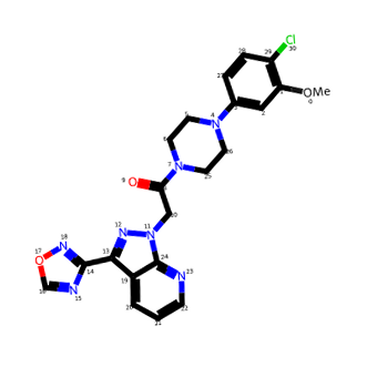 COc1cc(N2CCN(C(=O)Cn3nc(-c4ncon4)c4cccnc43)CC2)ccc1Cl